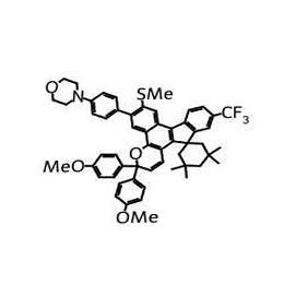 COc1ccc(C2(c3ccc(OC)cc3)C=Cc3c4c(c5cc(SC)c(-c6ccc(N7CCOCC7)cc6)cc5c3O2)-c2ccc(C(F)(F)F)cc2C42CC(C)(C)CC(C)(C)C2)cc1